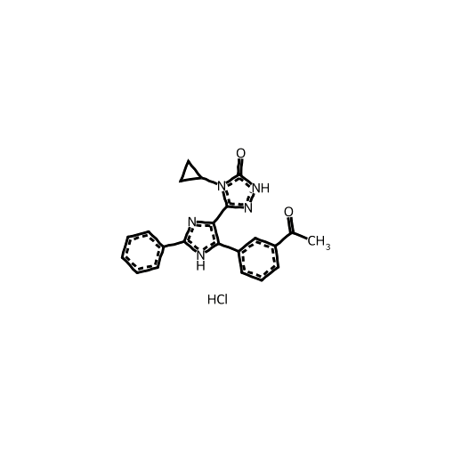 CC(=O)c1cccc(-c2[nH]c(-c3ccccc3)nc2-c2n[nH]c(=O)n2C2CC2)c1.Cl